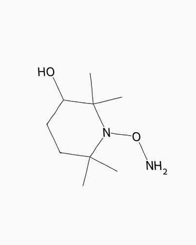 CC1(C)CCC(O)C(C)(C)N1ON